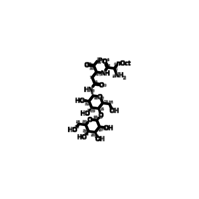 CCCCCCCCC(N)C(=O)NC(CC(=O)N[C@@H]1OC(CO)[C@@H](O[C@@H]2OC(CO)[C@H](O)[C@H](O)C2O)[C@H](O)C1O)C(=O)C(C)C